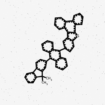 CC1(C)c2ccccc2-c2ccc(-c3c4ccccc4c(-c4ccc5sc6c7ccccc7c7ccccc7c6c5c4)c4ccccc34)cc21